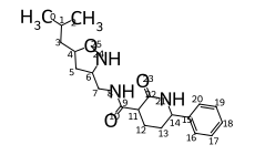 CC(C)CC1CC(CNC(=O)C2CCC(c3ccccc3)NC2=O)NO1